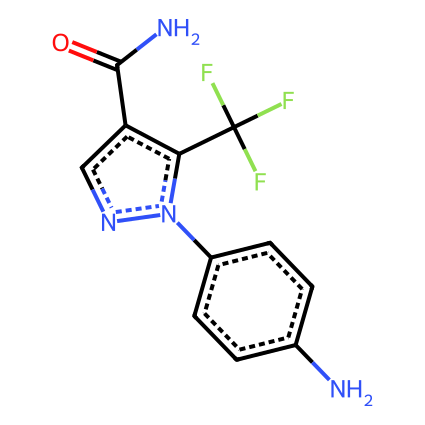 NC(=O)c1cnn(-c2ccc(N)cc2)c1C(F)(F)F